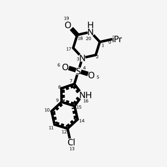 CC(C)C1CN(S(=O)(=O)c2cc3ccc(Cl)cc3[nH]2)CC(=O)N1